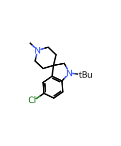 CN1CCC2(CC1)CN(C(C)(C)C)c1ccc(Cl)cc12